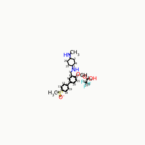 CNC1CCC(NCc2cc(-c3ccc([S+](C)[O-])cc3)ccc2OC)CC1.O=C(O)C(F)(F)F